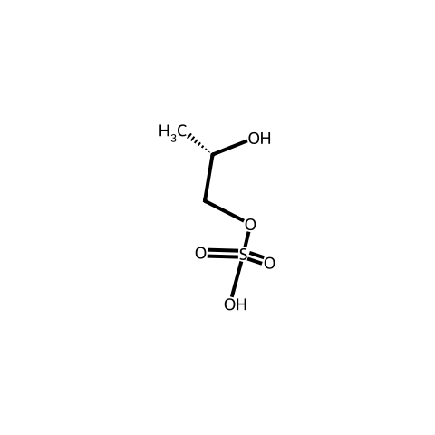 C[C@H](O)COS(=O)(=O)O